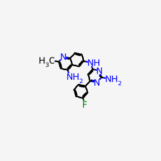 Cc1cc(N)c2cc(Nc3cc(-c4cccc(F)c4)nc(N)n3)ccc2n1